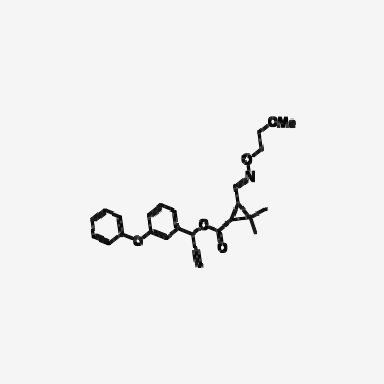 C#CC(OC(=O)C1C(C=NOCCOC)C1(C)C)c1cccc(Oc2ccccc2)c1